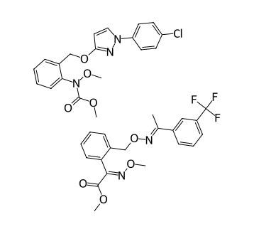 CO/N=C(/C(=O)OC)c1ccccc1CO/N=C(\C)c1cccc(C(F)(F)F)c1.COC(=O)N(OC)c1ccccc1COc1ccn(-c2ccc(Cl)cc2)n1